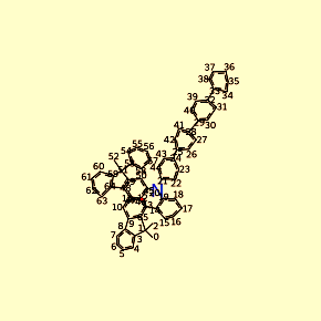 CC1(C)c2ccccc2-c2cccc(-c3ccccc3N(c3ccc(-c4ccc(-c5ccc(-c6ccccc6)cc5)cc4)cc3)c3ccc4c(c3)C(C)(c3ccccc3)c3ccccc3-4)c21